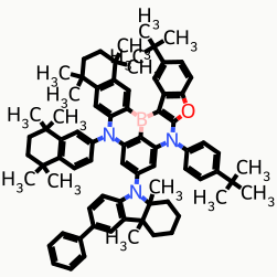 CC(C)(C)c1ccc(N2c3cc(N4c5ccc(-c6ccccc6)cc5C5(C)CCCCC45C)cc4c3B(c3cc5c(cc3N4c3ccc4c(c3)C(C)(C)CCC4(C)C)C(C)(C)CCC5(C)C)c3c2oc2ccc(C(C)(C)C)cc32)cc1